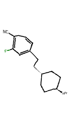 CCC[C@H]1CC[C@H](CCc2ccc(C#N)c(F)c2)CC1